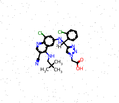 [2H]C(Nc1cc(Cl)c2ncc(C#N)c(NCC(C)(C)C)c2c1)(c1cn(CC(=O)O)nn1)c1ccccc1Cl